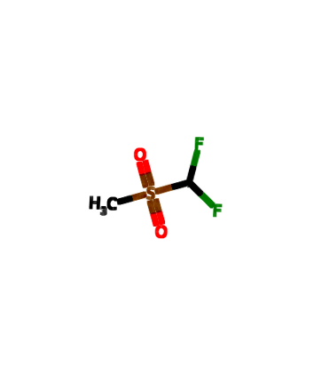 CS(=O)(=O)[C](F)F